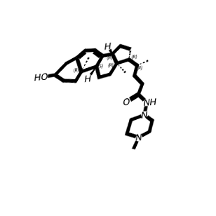 C[C@H](CCC(=O)NN1CCN(C)CC1)[C@H]1CC[C@H]2C3=CC=C4CC(O)CC[C@]4(C)[C@H]3CC[C@]12C